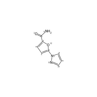 NC(=O)c1ccc(-n2cccn2)o1